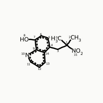 CC(C)(Cc1ccc(O)c2ncccc12)[N+](=O)[O-]